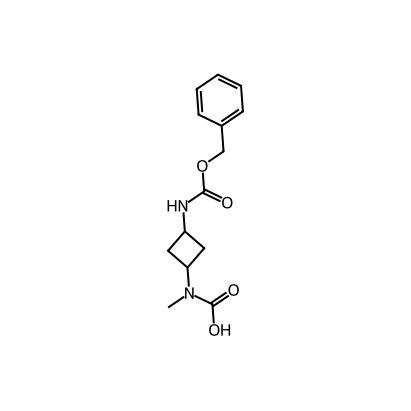 CN(C(=O)O)C1CC(NC(=O)OCc2ccccc2)C1